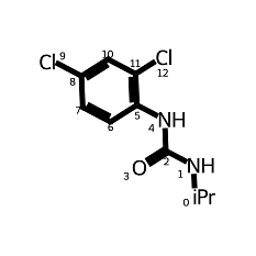 CC(C)NC(=O)Nc1ccc(Cl)cc1Cl